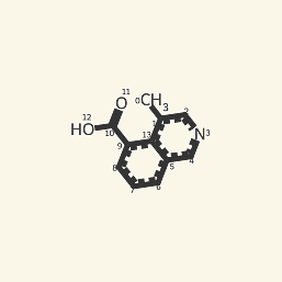 Cc1cncc2cccc(C(=O)O)c12